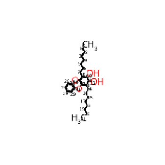 CCCCCCCCc1c(O)c(O)c(CCCCCCCC)c2c1Oc1ccccc1O2